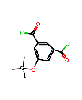 C[Si](C)(C)Oc1cc(C(=O)Cl)cc(C(=O)Cl)c1